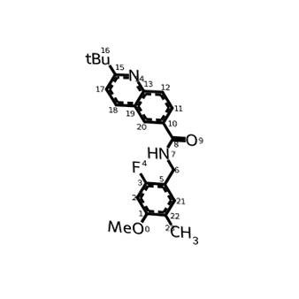 COc1cc(F)c(CNC(=O)c2ccc3nc(C(C)(C)C)ccc3c2)cc1C